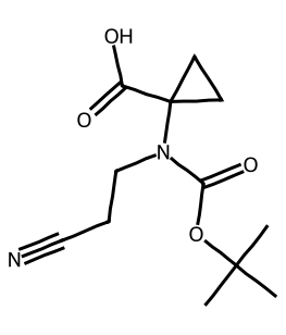 CC(C)(C)OC(=O)N(CCC#N)C1(C(=O)O)CC1